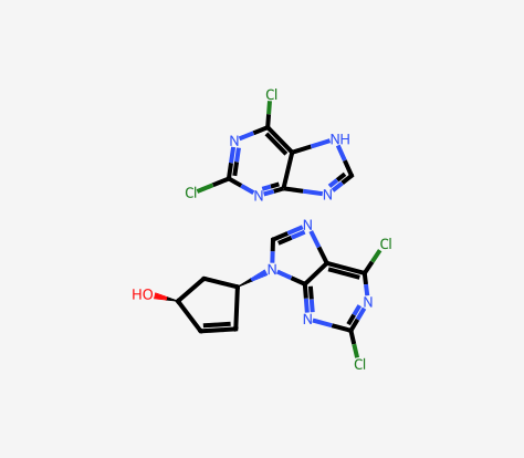 Clc1nc(Cl)c2[nH]cnc2n1.O[C@@H]1C=C[C@H](n2cnc3c(Cl)nc(Cl)nc32)C1